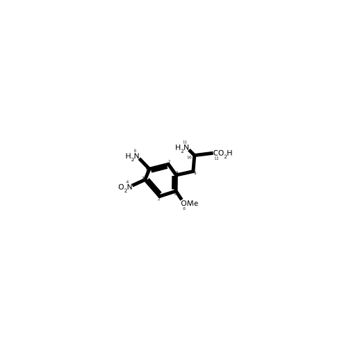 COc1cc([N+](=O)[O-])c(N)cc1CC(N)C(=O)O